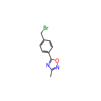 Cc1noc(-c2ccc(CBr)cc2)n1